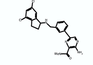 CNC(=O)c1nc(-c2cccc(CNC3CCc4c(Cl)cc(Cl)cc43)c2)cnc1N